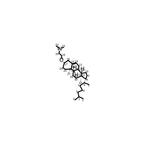 CC(C)CCCC(C)[C@H]1CC[C@H]2[C@@H]3CC=C4C[C@@H](OCCN(C)C)CC[C@]4(C)[C@H]3CC[C@]12C